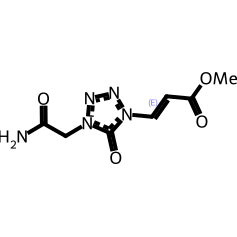 COC(=O)/C=C/n1nnn(CC(N)=O)c1=O